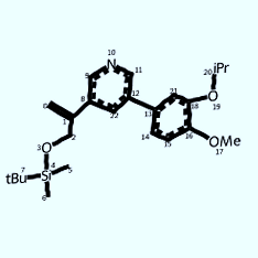 C=C(CO[Si](C)(C)C(C)(C)C)c1cncc(-c2ccc(OC)c(OC(C)C)c2)c1